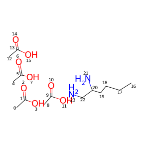 CC(=O)O.CC(=O)O.CC(=O)O.CC(=O)O.CCCCC(N)CN